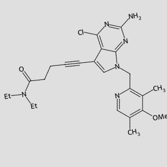 CCN(CC)C(=O)CCC#Cc1cn(Cc2ncc(C)c(OC)c2C)c2nc(N)nc(Cl)c12